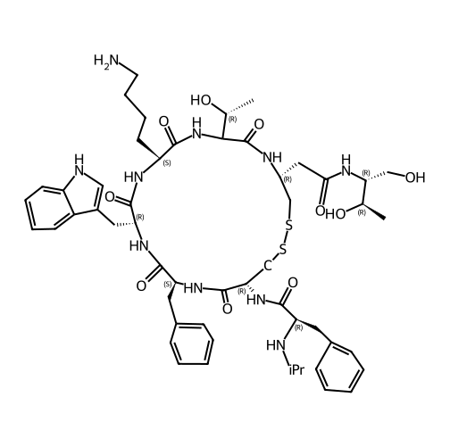 CC(C)N[C@H](Cc1ccccc1)C(=O)N[C@H]1CSSC[C@@H](CC(=O)N[C@H](CO)[C@@H](C)O)NC(=O)C([C@@H](C)O)NC(=O)[C@H](CCCCN)NC(=O)[C@@H](Cc2c[nH]c3ccccc23)NC(=O)[C@H](Cc2ccccc2)NC1=O